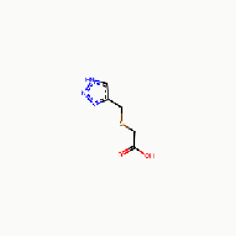 O=C(O)CSCc1c[nH]nn1